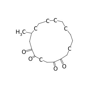 CC1CCCCCCCCCCC(=O)C(=O)CCC(=O)C(=O)C1